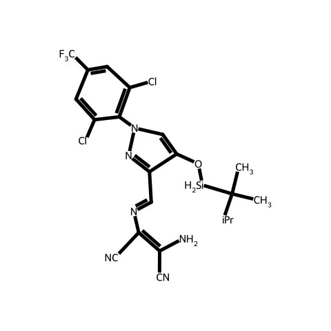 CC(C)C(C)(C)[SiH2]Oc1cn(-c2c(Cl)cc(C(F)(F)F)cc2Cl)nc1C=NC(C#N)=C(N)C#N